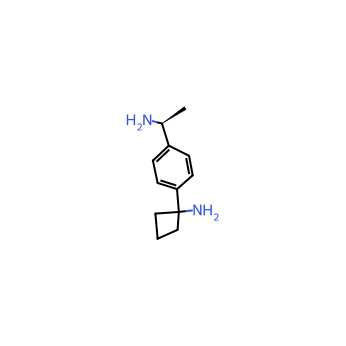 C[C@H](N)c1ccc(C2(N)CCC2)cc1